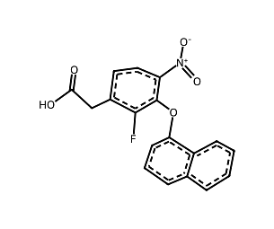 O=C(O)Cc1ccc([N+](=O)[O-])c(Oc2cccc3ccccc23)c1F